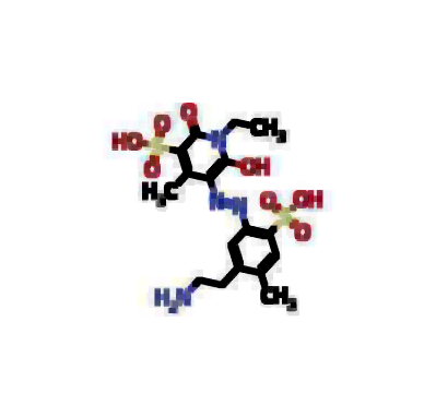 CCn1c(O)c(N=Nc2cc(CCN)c(C)cc2S(=O)(=O)O)c(C)c(S(=O)(=O)O)c1=O